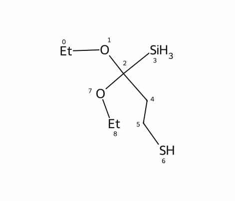 CCOC([SiH3])(CCS)OCC